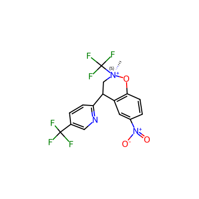 C[N@@+]1(C(F)(F)F)CC(c2ccc(C(F)(F)F)cn2)c2cc([N+](=O)[O-])ccc2O1